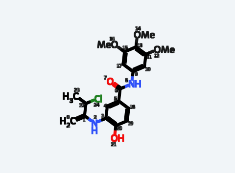 C=C(Nc1cc(C(=O)Nc2cc(OC)c(OC)c(OC)c2)ccc1O)C(C)Cl